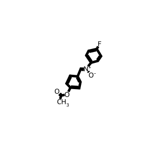 CC(=O)Oc1ccc(C=[N+]([O-])c2ccc(F)cc2)cc1